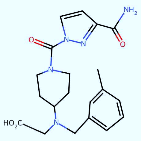 Cc1cccc(CN(CC(=O)O)C2CCN(C(=O)n3ccc(C(N)=O)n3)CC2)c1